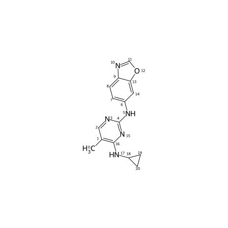 Cc1cnc(Nc2ccc3ncoc3c2)nc1NC1CC1